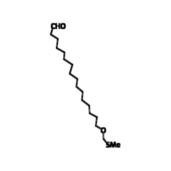 CSCOCCCCCCCCCCCCCCCC=O